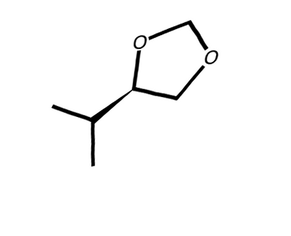 CC(C)[C@@H]1COCO1